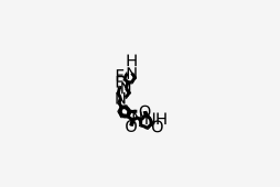 O=C1CCC(N2Cc3cc(CN4CCN(C5CCNCC5(F)F)CC4)ccc3C2=O)C(=O)N1